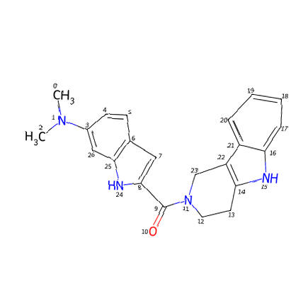 CN(C)c1ccc2cc(C(=O)N3CCc4[nH]c5ccccc5c4C3)[nH]c2c1